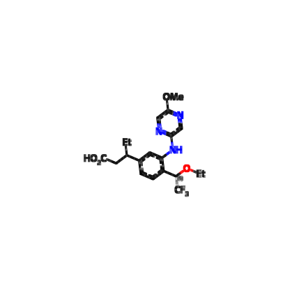 CCO[C@@H](c1ccc(C(CC)CC(=O)O)cc1Nc1cnc(OC)cn1)C(F)(F)F